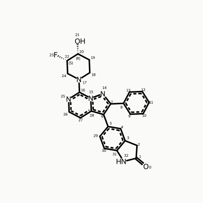 O=C1Cc2cc(-c3c(-c4ccccc4)nn4c(N5CC[C@@H](O)[C@@H](F)C5)nccc34)ccc2N1